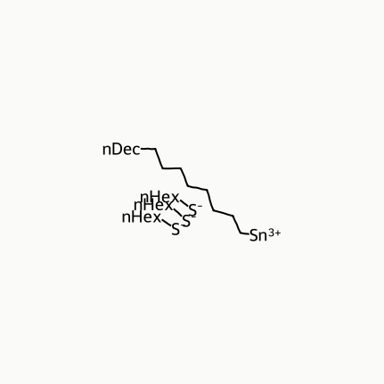 CCCCCCCCCCCCCCCCC[CH2][Sn+3].CCCCCC[S-].CCCCCC[S-].CCCCCC[S-]